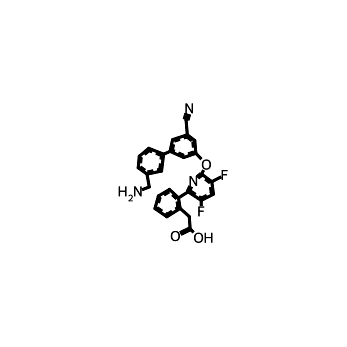 N#Cc1cc(Oc2nc(-c3ccccc3CC(=O)O)c(F)cc2F)cc(-c2cccc(CN)c2)c1